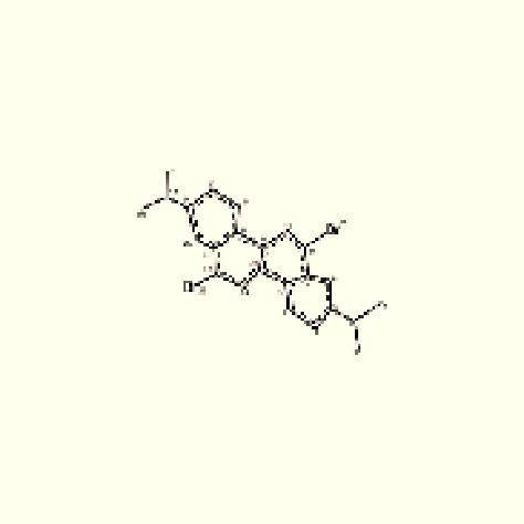 CC(C)c1ccc2c(c1)c(Br)cc1c3ccc(C(C)C)cc3c(Br)cc21